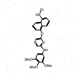 CCNc1cccc2c(Oc3cncc(Nc4cc(OC)c(OC)c(OC)c4)n3)cccc12